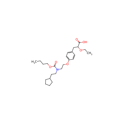 CCCCOC(=O)N(CCOc1ccc(CC(OCC)C(=O)O)cc1)CCC1CCCC1